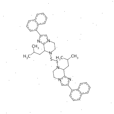 CC(C)CC1c2nc(-c3cccc4ccccc34)cn2CCN1SSN1CCn2cc(-c3cccc4ccccc34)nc2C1CC(C)C